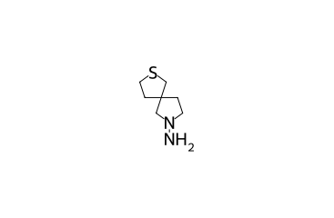 NN1CCC2(CCSC2)C1